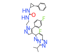 CC(C)c1nnc2ccc(-c3cnn(CCNC(=O)NC4C[C@H]4c4ccccc4)c3-c3ccc(F)cc3F)nn12